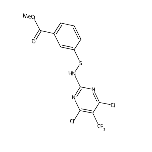 COC(=O)c1cccc(SNc2nc(Cl)c(C(F)(F)F)c(Cl)n2)c1